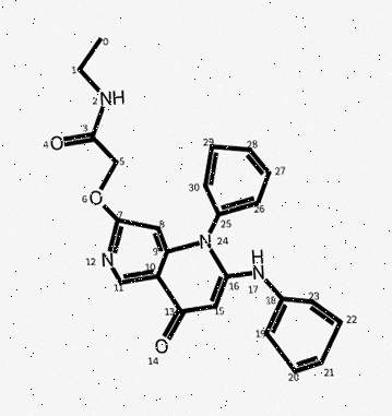 CCNC(=O)COc1cc2c(cn1)c(=O)cc(Nc1ccccc1)n2-c1ccccc1